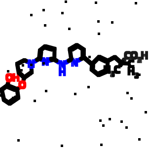 CC(C)(Cc1cccc(-c2cccc(Nc3cccc(N4CCCC(OC5=C(O)CCC=C5)C4)n3)n2)c1)C(=O)O